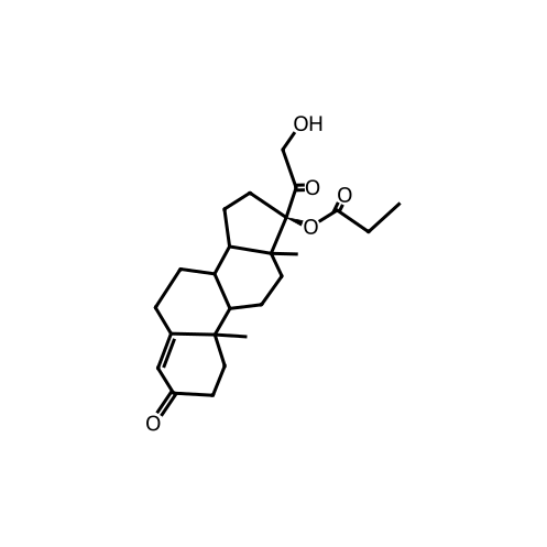 CCC(=O)O[C@]1(C(=O)CO)CCC2C3CCC4=CC(=O)CCC4(C)C3CCC21C